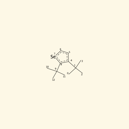 CC(C)(C)c1cc[se]c1C(C)(C)C